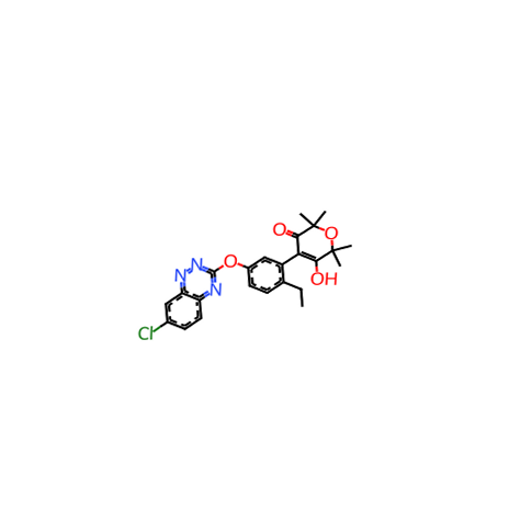 CCc1ccc(Oc2nnc3cc(Cl)ccc3n2)cc1C1=C(O)C(C)(C)OC(C)(C)C1=O